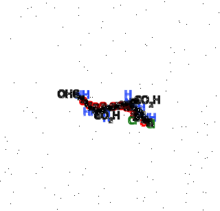 O=CNCCOCCOCC(=O)NC(CCC(=O)NCCOCCOCC(=O)NC(CCC(=O)O)C(=O)NCCN(CCNC(=O)CCl)C(=O)CCl)C(=O)O